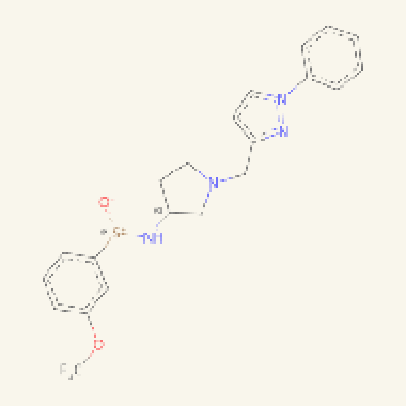 [O-][S@+](N[C@@H]1CCN(Cc2ccn(-c3ccccc3)n2)C1)c1cccc(OC(F)(F)F)c1